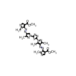 COC(=O)c1cnn(C)c1/N=N/c1cn(-c2nnc(-n3nc(C)c(/N=N/c4c(C(=O)OC)cnn4C)c3N)s2)nc1C